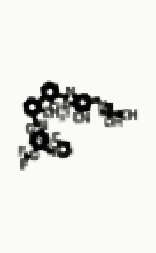 C#CC1(O)CN(Cc2cc(C#N)c3oc(-c4cccc(-c5cccc(-c6nc7cc(CN8CCC[C@H]8C(=O)O)c(OC(F)F)cc7o6)c5C)c4C)nc3c2)C1